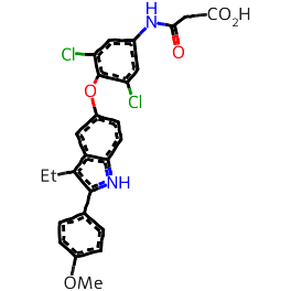 CCc1c(-c2ccc(OC)cc2)[nH]c2ccc(Oc3c(Cl)cc(NC(=O)CC(=O)O)cc3Cl)cc12